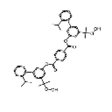 CC(C)c1ccccc1-c1cc(OC(=O)c2ccc(C(=O)Oc3cc(-c4ccccc4C(C)C)cc(C(C)(C)OO)c3)cc2)cc(C(C)(C)OO)c1